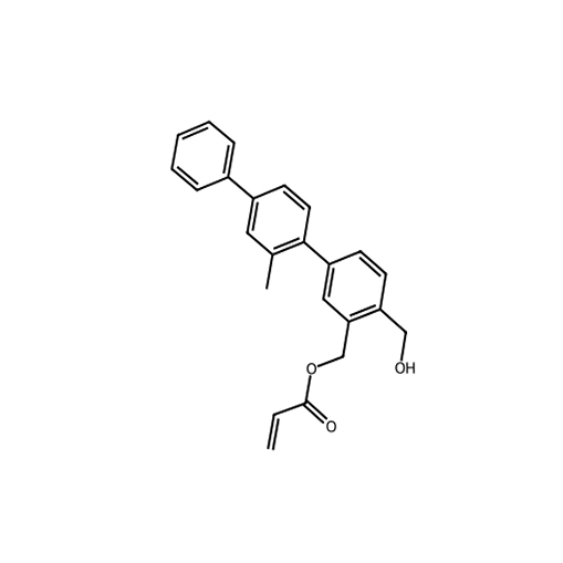 C=CC(=O)OCc1cc(-c2ccc(-c3ccccc3)cc2C)ccc1CO